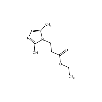 CCOC(=O)CCn1c(C)cnc1O